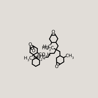 CC1(C2(C)CC34OC3(CC2C(=O)O)O4)CCCCC1.CC1CC2OC2CC1CC(CCCC(=O)O)(CC1CC2OC2CC1C)C(=O)O